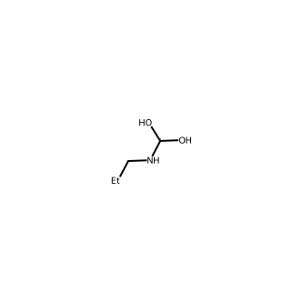 CCCN[C](O)O